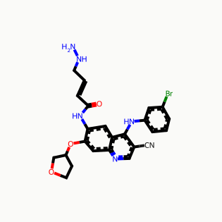 N#Cc1cnc2cc(OC3CCOC3)c(NC(=O)/C=C/CNN)cc2c1Nc1cccc(Br)c1